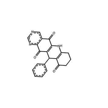 O=C1CCCC2=C1C(c1ccccc1)C1=C(N2)C(=O)c2cncnc2C1=O